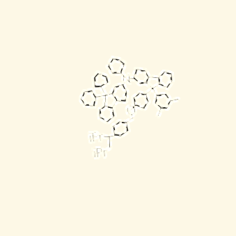 Cc1cc(C)cc(C2(c3ccc(OCc4ccc(C(CC(C)C)C(C)C)cc4)cc3)c3ccccc3-c3ccc(N(c4ccccc4)c4ccc5c(c4)C(c4ccccc4)(c4ccccc4)c4ccccc4-5)cc32)c1